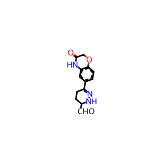 O=CC1CCC(c2ccc3c(c2)NC(=O)CO3)=NN1